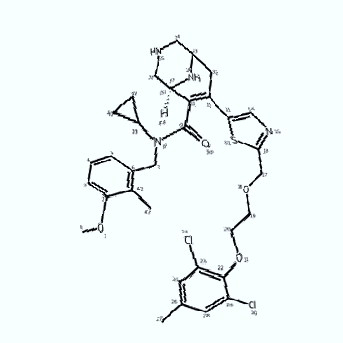 COc1cccc(CN(C(=O)C2=C(c3cnc(COCCOc4c(Cl)cc(C)cc4Cl)s3)CC3CNC[C@H]2N3)C2CC2)c1C